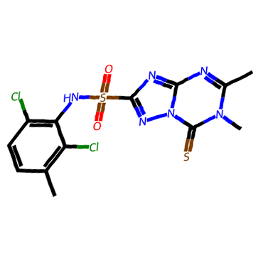 Cc1ccc(Cl)c(NS(=O)(=O)c2nc3nc(C)n(C)c(=S)n3n2)c1Cl